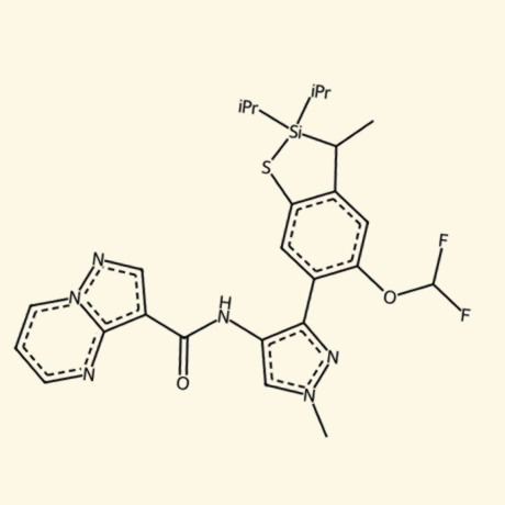 CC(C)[Si]1(C(C)C)Sc2cc(-c3nn(C)cc3NC(=O)c3cnn4cccnc34)c(OC(F)F)cc2C1C